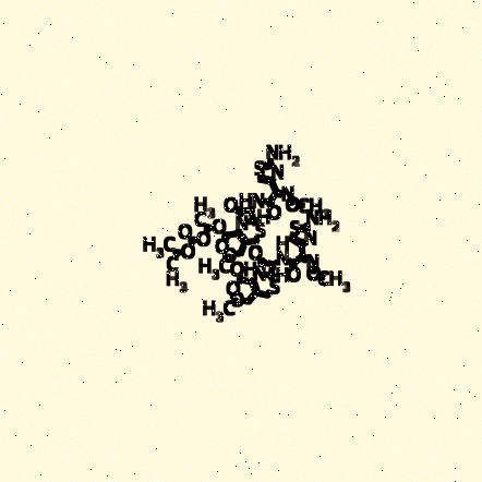 COCC1=C(C(=O)O)N2C(=O)[C@@H](NC(=O)/C(=N\OC)c3csc(N)n3)[C@H]2SC1.COCC1=C(C(=O)OC(C)OC(=O)OC(C)C)N2C(=O)[C@@H](NC(=O)/C(=N\OC)c3csc(N)n3)[C@H]2SC1